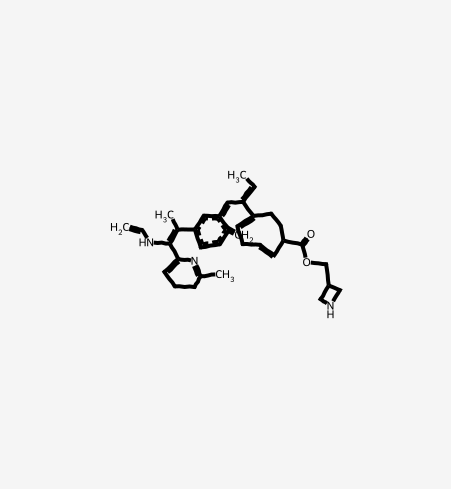 C=CN/C(C1=CCCC(C)=N1)=C(\C)c1ccc(=C)\c(=C/C(=C\C)C2=C/C/C=C/C(C(=O)OCC3CNC3)CC\2)c1